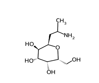 CC(N)C[C@H]1O[C@H](CO)[C@H](O)[C@H](O)[C@H]1O